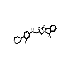 O=C1c2ccccc2C(=O)N1CC(O)CNc1ccc(N2CCOCC2)c(F)c1